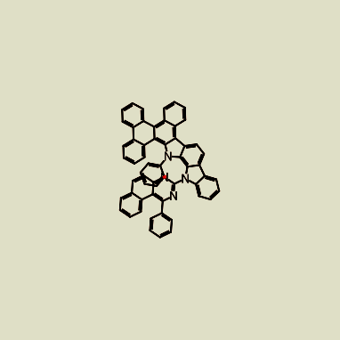 c1ccc(-c2nc(-n3c4ccccc4c4ccc5c6c7ccccc7c7c8ccccc8c8ccccc8c7c6n(-c6ccccc6)c5c43)nc3ccc4ccccc4c23)cc1